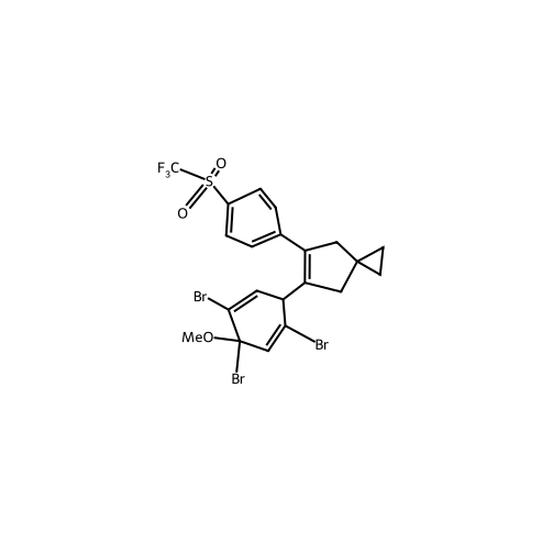 COC1(Br)C=C(Br)C(C2=C(c3ccc(S(=O)(=O)C(F)(F)F)cc3)CC3(CC3)C2)C=C1Br